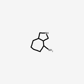 NC1CCCCC2CNCC12